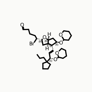 CCCC1([C@H](C=C[C@@H]2[C@H]3C[C@H](C(Br)CCCC=O)O[C@@H]3C[C@H]2OC2CCCCO2)OC2CCCCO2)CCCC1